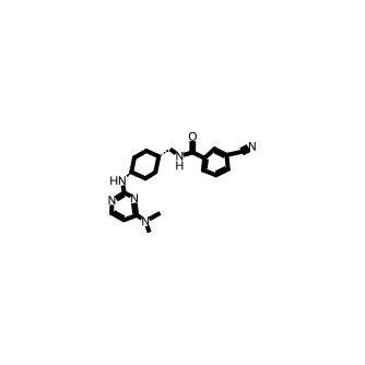 CN(C)c1ccnc(N[C@H]2CC[C@@H](CNC(=O)c3cccc(C#N)c3)CC2)n1